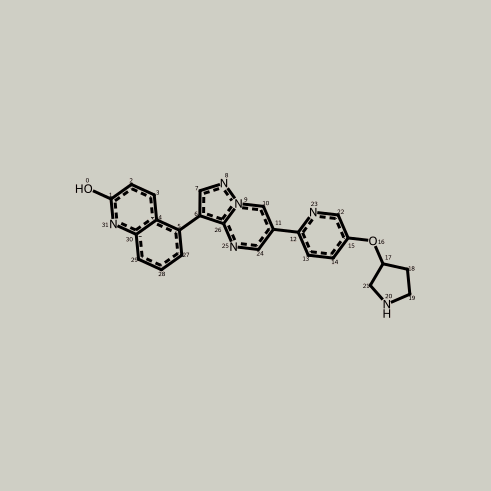 Oc1ccc2c(-c3cnn4cc(-c5ccc(OC6CCNC6)cn5)cnc34)cccc2n1